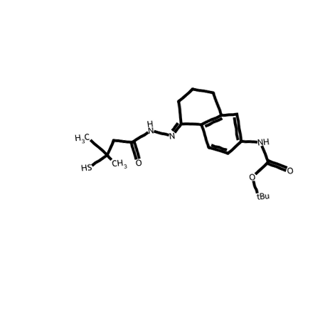 CC(C)(S)CC(=O)NN=C1CCCc2cc(NC(=O)OC(C)(C)C)ccc21